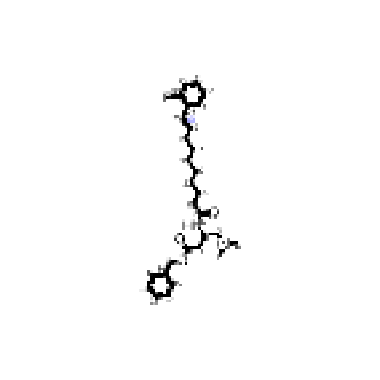 CN(C)C[C@@H](CC(=O)OCc1ccccc1)NC(=O)CCCCCCC/C=C/c1ccccc1F